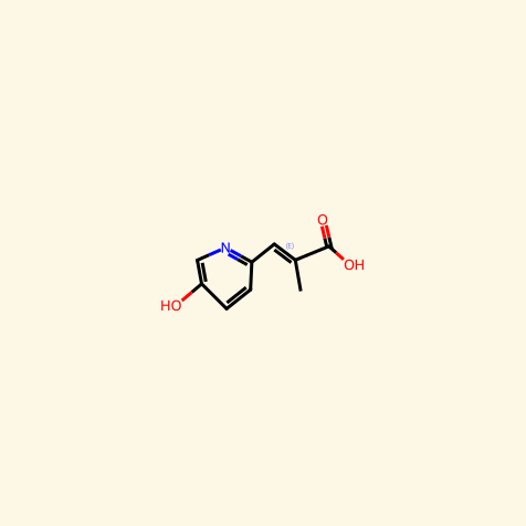 C/C(=C\c1ccc(O)cn1)C(=O)O